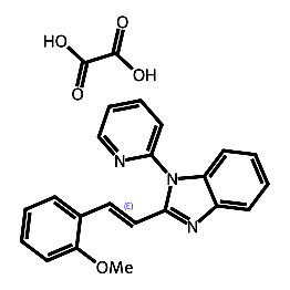 COc1ccccc1/C=C/c1nc2ccccc2n1-c1ccccn1.O=C(O)C(=O)O